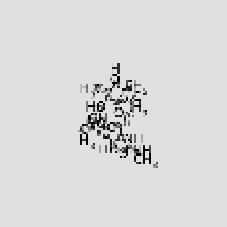 C/C=C/[C@@H](C[C@@H]1O[C@](O)(C[C@H](C)O)C[C@H](O)[C@H]1NC(=O)NC)OC1OC(C)C(O)C(C)C1O